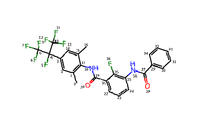 Cc1cc(C(F)(C(F)(F)F)C(F)(F)F)cc(C)c1NC(=O)c1cccc(NC(=O)c2ccccc2)c1F